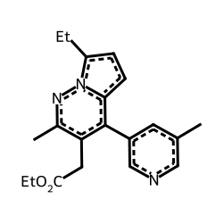 CCOC(=O)Cc1c(C)nn2c(CC)ccc2c1-c1cncc(C)c1